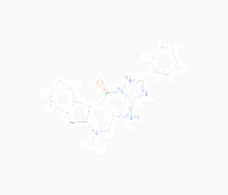 CN(Cc1cc(=O)n2nc(-c3ccccc3)nc2[nH]1)C1Cc2ccccc2C1